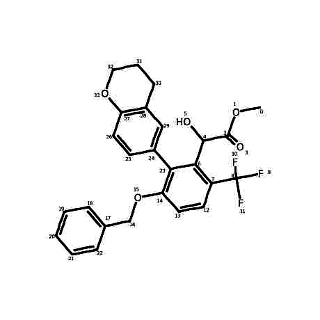 COC(=O)C(O)c1c(C(F)(F)F)ccc(OCc2ccccc2)c1-c1ccc2c(c1)CCCO2